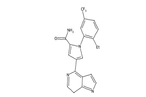 CCc1ccc(C(F)(F)F)cc1-n1cc(C2=C3C=CN=C3CC=N2)cc1C(N)=O